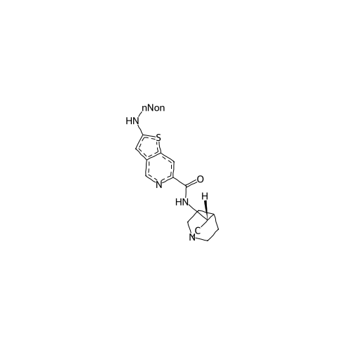 CCCCCCCCCNc1cc2cnc(C(=O)N[C@H]3CN4CCC3CC4)cc2s1